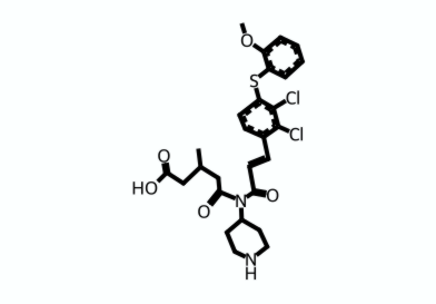 COc1ccccc1Sc1ccc(/C=C/C(=O)N(C(=O)CC(C)CC(=O)O)C2CCNCC2)c(Cl)c1Cl